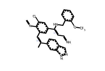 C=Nc1c(Cl)cc(/C(=C/C=N)NCc2ccccc2OC(F)(F)F)cc1/C=C(/C)c1ccc2cn[nH]c2c1